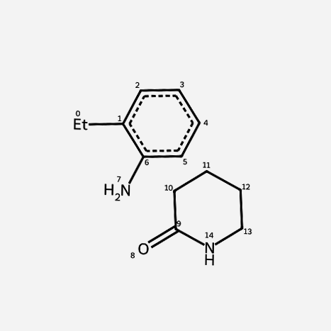 CCc1ccccc1N.O=C1CCCCN1